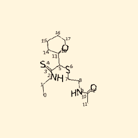 CCNC(=S)C(SCCNC(C)=O)C1CCCCO1